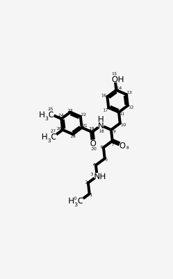 CCCNCCCC(=O)C(Cc1ccc(O)cc1)NC(=O)c1ccc(C)c(C)c1